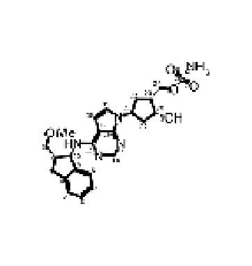 COC[C@@H]1Cc2ccccc2[C@@H]1Nc1ncnc2c1ccn2[C@H]1C[C@H](COS(N)(=O)=O)[C@H](O)C1